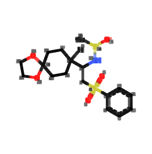 CCC1(C(CS(=O)(=O)c2ccccc2)N[S+]([O-])C(C)(C)C)CCC2(CC1)OCCO2